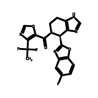 CC(F)(F)c1ncoc1C(=O)N1CCc2[nH]cnc2[C@H]1c1nc2cc(F)ccc2o1